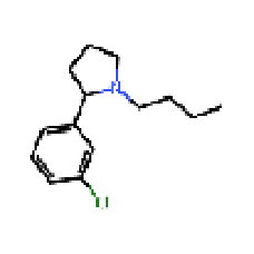 CCCCN1CCCC1c1cccc(Cl)c1